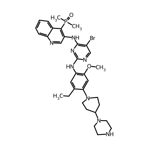 CCc1cc(Nc2ncc(Br)c(Nc3cnc4ccccc4c3P(C)(C)=O)n2)c(OC)cc1N1CCC(N2CCNCC2)CC1